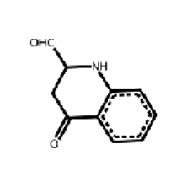 O=CC1CC(=O)c2ccccc2N1